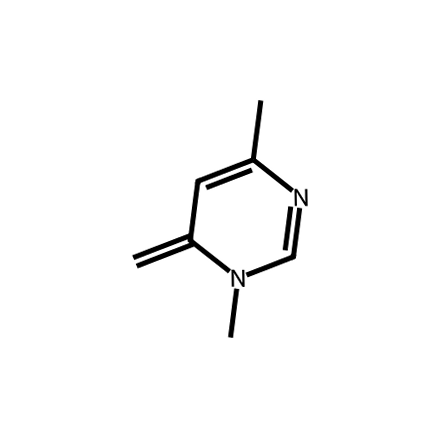 C=C1C=C(C)N=CN1C